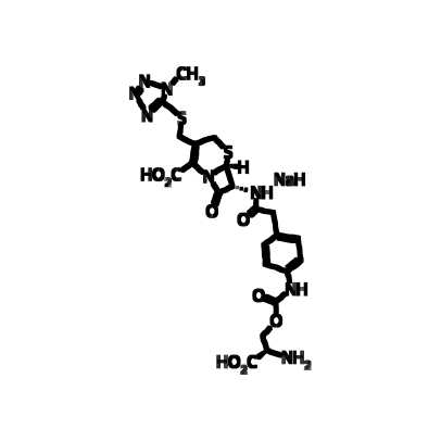 Cn1nnnc1SCC1=C(C(=O)O)N2C(=O)[C@@H](NC(=O)Cc3ccc(NC(=O)OC[C@@H](N)C(=O)O)cc3)[C@H]2SC1.[NaH]